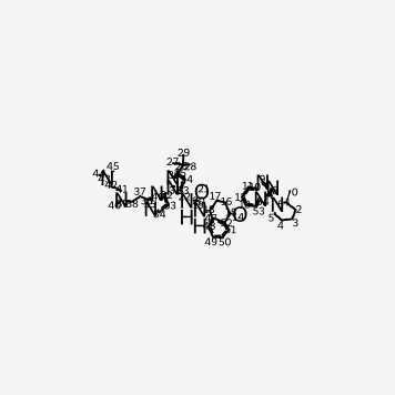 C[C@H]1CCCCN1c1nnc2ccc(O[C@@H]3CC[C@H](NC(=O)Nc4cc(C(C)(C)C)nn4-c4ccnc(CCN(C)CCN(C)C)n4)c4ccccc43)cn12